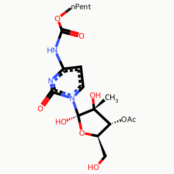 CCCCCOC(=O)Nc1ccn([C@]2(O)O[C@H](CO)[C@@H](OC(C)=O)[C@@]2(C)O)c(=O)n1